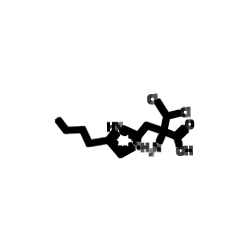 CCCCc1cnc(CC(N)(C(=O)O)C(Cl)Cl)[nH]1